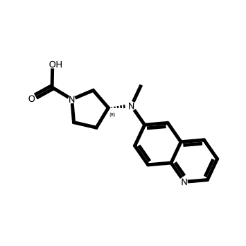 CN(c1ccc2ncccc2c1)[C@@H]1CCN(C(=O)O)C1